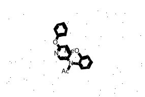 COc1ccccc1N(C(C)=O)c1ccc(Oc2ccccc2)nc1